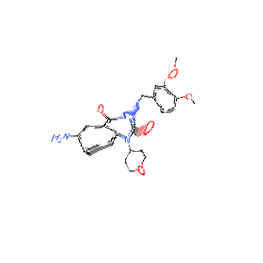 COc1ccc(Cn2c(=O)c3cc(N)ccc3n(C3CCOCC3)c2=O)cc1OC